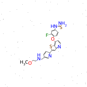 COCCNCc1ccc(-c2cc3nccc(Oc4ccc(NC(N)=S)cc4F)c3s2)nc1